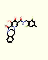 Cc1cc(F)c(CNC(=O)c2cn3c(c(O)c2=O)C(=O)N2Cc4ccccc4CC3C2)c(F)c1